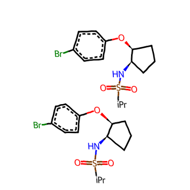 CC(C)S(=O)(=O)N[C@@H]1CCC[C@@H]1Oc1ccc(Br)cc1.CC(C)S(=O)(=O)N[C@@H]1CCC[C@@H]1Oc1ccc(Br)cc1